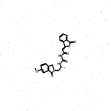 COc1ccc2c(c1)C(=O)N(C[C@@H](C)NC(=O)NC(=O)/C=C1\OC(=O)c3ncccc31)C2